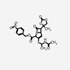 CC(=O)NC(C)SC1=CC2C(C3(C)COC(=O)O3)C(=O)N2C1C(=O)OCc1ccc([N+](=O)[O-])cc1